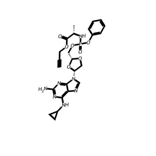 C#CCOC(=O)[C@H](C)NP(=O)(OC[C@@H]1OC[C@H](n2cnc3c(NC4CC4)nc(N)nc32)O1)Oc1ccccc1